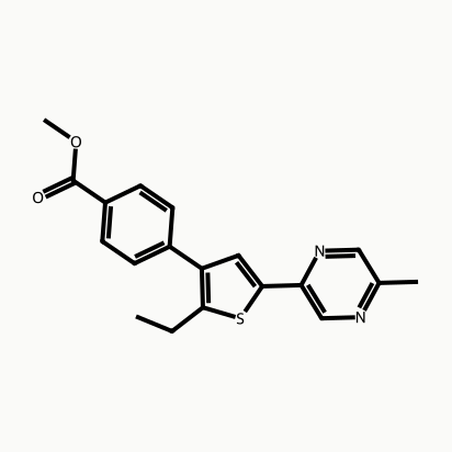 CCc1sc(-c2cnc(C)cn2)cc1-c1ccc(C(=O)OC)cc1